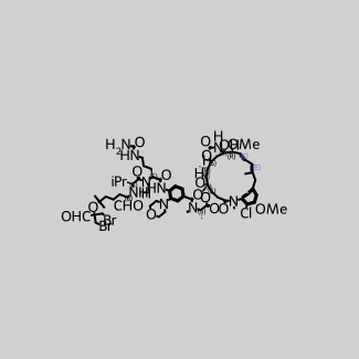 COc1cc2cc(c1Cl)N(C)C(=O)C[C@H](OC(=O)[C@H](C)N(C)C(=O)c1ccc(NC(=O)[C@H](CCCNC(N)=O)NC(=O)[C@@H](N[C@H](C=O)CCCC(C)(C)OC(C=O)(CBr)CBr)C(C)C)c(N3CCOCC3)c1)[C@]1(C)O[C@H]1[C@H](C)[C@@H]1C[C@@](O)(NC(=O)O1)[C@H](OC)/C=C/C=C(\C)C2